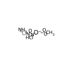 COC(=O)CCc1ccc(N2CCN(C3CCC(CN)CC3)C2=O)cc1.Cl